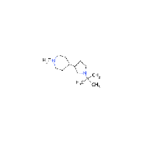 CN1CCC(C2CCN(C(C)(C)C)C2)CC1